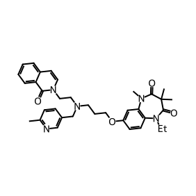 CCN1C(=O)C(C)(C)C(=O)N(C)c2cc(OCCCN(CCn3ccc4ccccc4c3=O)Cc3ccc(C)nc3)ccc21